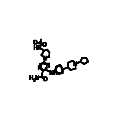 CS(=O)(=O)N[C@H]1CCCN(c2cnc(C(N)=O)c(Nc3ccc(C4CCN(C5CCCC5)CC4)cc3)n2)C1